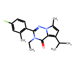 CCn1c(-c2ccc(F)cc2C)nn2c(C)cc(C(C)C)c2c1=O